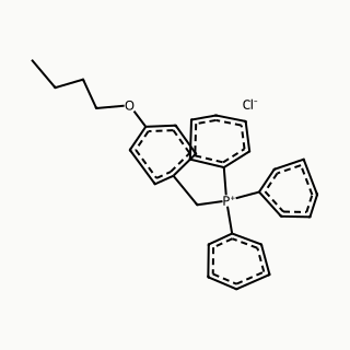 CCCCOc1ccc(C[P+](c2ccccc2)(c2ccccc2)c2ccccc2)cc1.[Cl-]